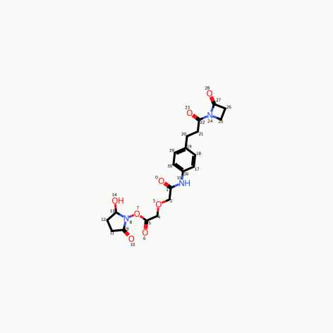 O=C(COCC(=O)ON1C(=O)CCC1O)Nc1ccc(CCC(=O)N2CCC2=O)cc1